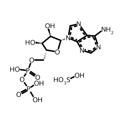 Nc1ncnc2c1ncn2[C@@H]1O[C@H](COP(=O)(O)OP(=O)(O)O)[C@@H](O)[C@H]1O.O=S(=O)(O)O